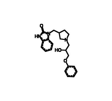 O=c1[nH]c2ccccc2n1CC1CCN(CC(O)COc2ccccc2)C1